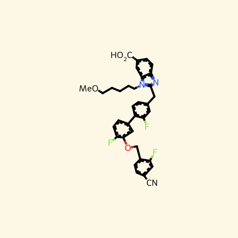 COCCCCCn1c(Cc2ccc(-c3ccc(F)c(OCc4ccc(C#N)cc4F)c3)c(F)c2)nc2ccc(C(=O)O)cc21